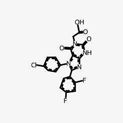 O=C(O)Cn1c(=O)[nH]c2nc(-c3ccc(F)cc3F)n(-c3ccc(Cl)cc3)c2c1=O